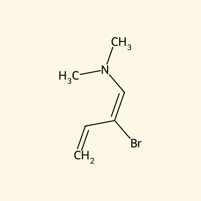 C=C/C(Br)=C\N(C)C